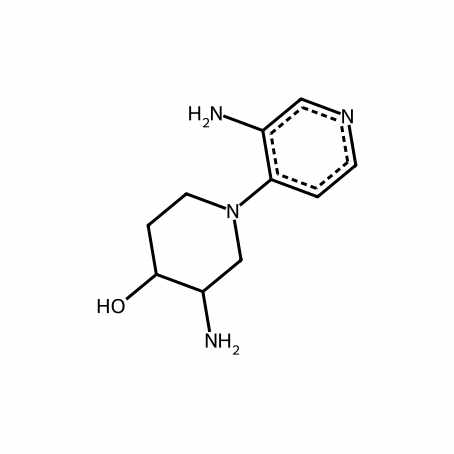 Nc1cnccc1N1CCC(O)C(N)C1